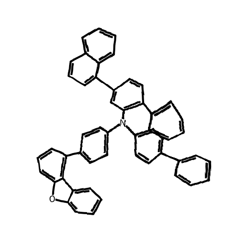 c1ccc(-c2ccc(N(c3ccc(-c4cccc5oc6ccccc6c45)cc3)c3cc(-c4cccc5ccccc45)ccc3-c3ccccc3)cc2)cc1